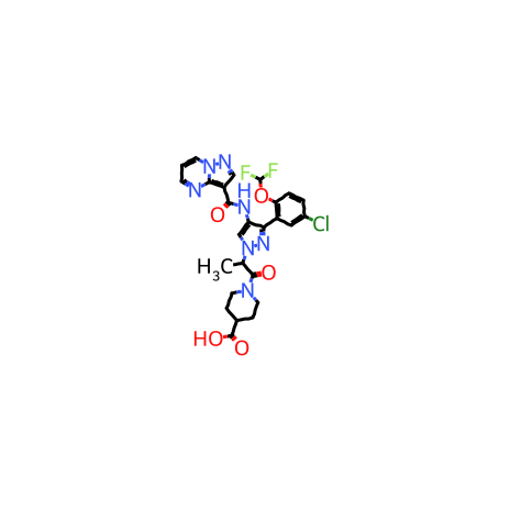 CC(C(=O)N1CCC(C(=O)O)CC1)n1cc(NC(=O)c2cnn3cccnc23)c(-c2cc(Cl)ccc2OC(F)F)n1